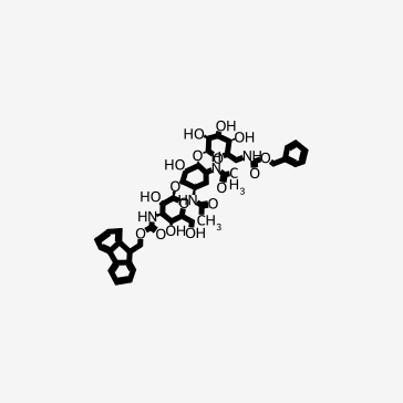 CC(=O)NC1C[C@@H](NC(C)=O)[C@@H](O[C@H]2OC(CO)[C@@H](O)[C@@H](NC(=O)OCC3c4ccccc4-c4ccccc43)C2O)C(O)[C@@H]1O[C@H]1OC(CNC(=O)OCc2ccccc2)[C@@H](O)C(O)[C@@H]1O